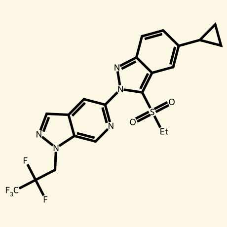 CCS(=O)(=O)c1c2cc(C3CC3)ccc2nn1-c1cc2cnn(CC(F)(F)C(F)(F)F)c2cn1